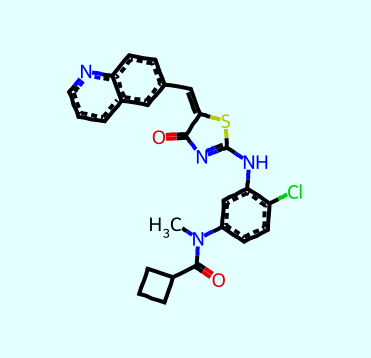 CN(C(=O)C1CCC1)c1ccc(Cl)c(NC2=NC(=O)C(=Cc3ccc4ncccc4c3)S2)c1